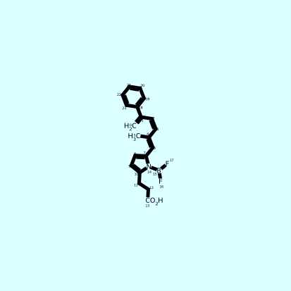 C=C(/C=C\C(C)=C\c1ccc(CCC(=O)O)n1B(F)F)c1ccccc1